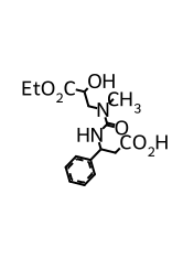 CCOC(=O)C(O)CN(C)C(=O)NC(CC(=O)O)c1ccccc1